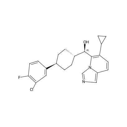 O[C@@H](c1c(C2CC2)ccc2cncn12)[C@H]1CC[C@H](c2ccc(F)c(Cl)c2)CC1